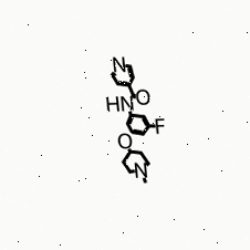 CN1CCC(Oc2cc(F)cc(NC(=O)c3ccncc3)c2)CC1